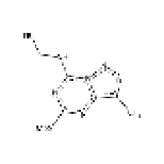 CSc1nc(NCC#N)n2ncc(C(F)(F)F)c2n1